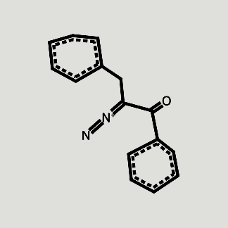 [N-]=[N+]=C(Cc1ccccc1)C(=O)c1ccccc1